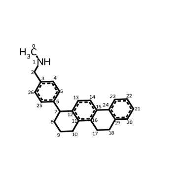 CNCc1ccc(C2CCCc3c2ccc2c3CCc3ccccc3-2)cc1